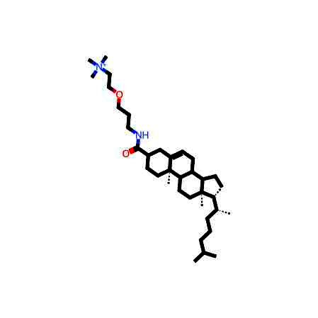 CC(C)CCC[C@@H](C)[C@H]1CCC2C3CC=C4CC(C(=O)NCCCOCC[N+](C)(C)C)CC[C@]4(C)C3CC[C@@]21C